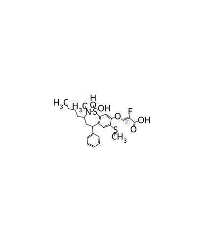 CCCCC1CC(c2ccccc2)c2cc(SC)c(O/C=C(\F)C(=O)O)cc2S(O)(O)N1C